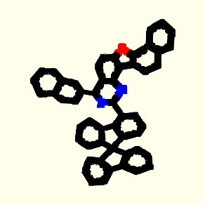 c1ccc2c(c1)-c1ccccc1C21c2ccccc2-c2c(-c3nc(-c4ccc5ccccc5c4)c4ccc5oc6c7ccccc7ccc6c5c4n3)cccc21